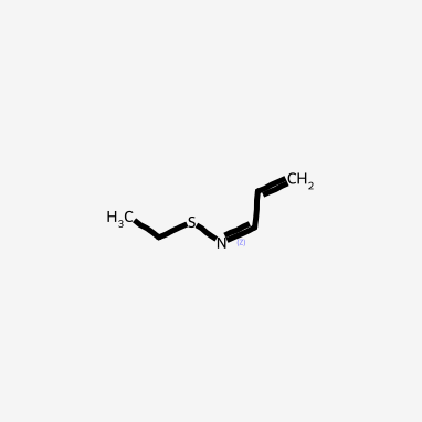 C=C/C=N\SCC